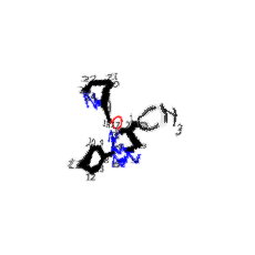 CCc1cc2nnc(-c3ccccc3)n2nc1OCc1ccccn1